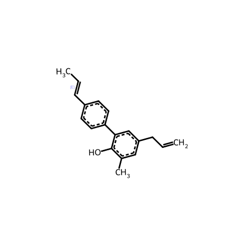 C=CCc1cc(C)c(O)c(-c2ccc(/C=C/C)cc2)c1